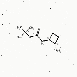 CC(C)(C)OC(=O)N[C@H]1CC[C@@H]1N